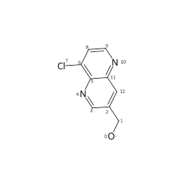 [O]Cc1cnc2c(Cl)ccnc2c1